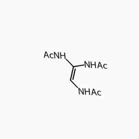 CC(=O)NC=C(NC(C)=O)NC(C)=O